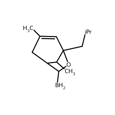 BC1OC2(CC(C)C)C=C(C)CC1C2C